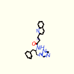 O=C(/C=C/c1ccc2ccccc2n1)NC(Cc1ccccc1)Cn1cncn1